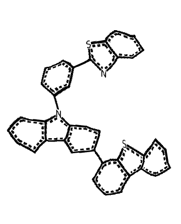 c1cc(-c2nc3ccccc3s2)cc(-n2c3ccccc3c3cc(-c4cccc5c4sc4ccccc45)ccc32)c1